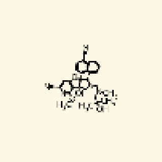 COc1nc(C#N)cc2c1[C@]1(O)C[C@H](CN(C)CC(C)(C)O)[C@@H](c3ccccc3)[C@]1(c1ccc(C#N)cc1)O2